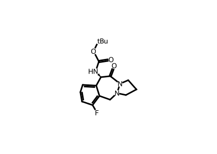 CC(C)(C)OC(=O)N[C@H]1C(=O)N2CCCN2Cc2c(F)cccc21